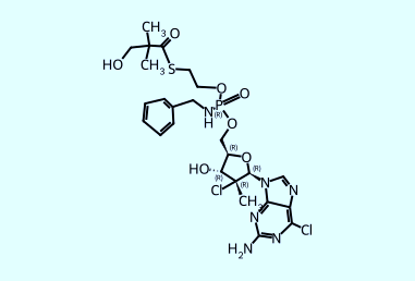 CC(C)(CO)C(=O)SCCO[P@@](=O)(NCc1ccccc1)OC[C@H]1O[C@@H](n2cnc3c(Cl)nc(N)nc32)[C@](C)(Cl)[C@@H]1O